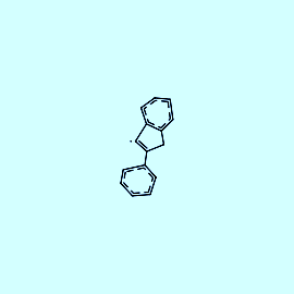 [C]1=C(c2ccccc2)Cc2ccccc21